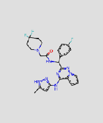 Cc1cc(Nc2nc(C(NC(=O)CN3CCC(F)(F)CC3)c3ccc(F)cc3)nn3cccc23)n[nH]1